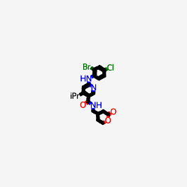 CC(C)c1cc(Nc2ccc(Cl)cc2Br)ncc1C(=O)NCC1CCOC(=O)C1